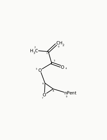 C=C(C)C(=O)OC1OC1CCCCC